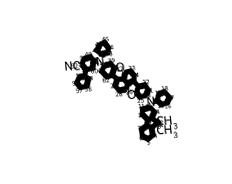 CC1(C)c2ccccc2-c2ccc(N(c3ccccc3)c3ccc4c(c3)Oc3ccc5c6c(ccc-4c36)Oc3cc(N(c4ccccc4)c4ccc(C#N)c(-c6ccccc6)c4)ccc3-5)cc21